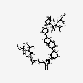 COC(=O)N[C@H](C(=O)N[C@@H]1C[C@@H]1CCc1nc(-c2cccc(-c3ccc4cc(C5CN=C([C@@H]6C[C@H]7C[C@H]7N6C(=O)[C@@H](NC(=O)OC)C(C)C)N5)ccc4c3)c2)c[nH]1)C(C)C